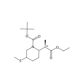 CCOC(=O)[C@H](C)C1CCC(SC)CN1C(=O)OC(C)(C)C